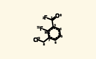 O=C(F)c1cccc(CCl)c1F